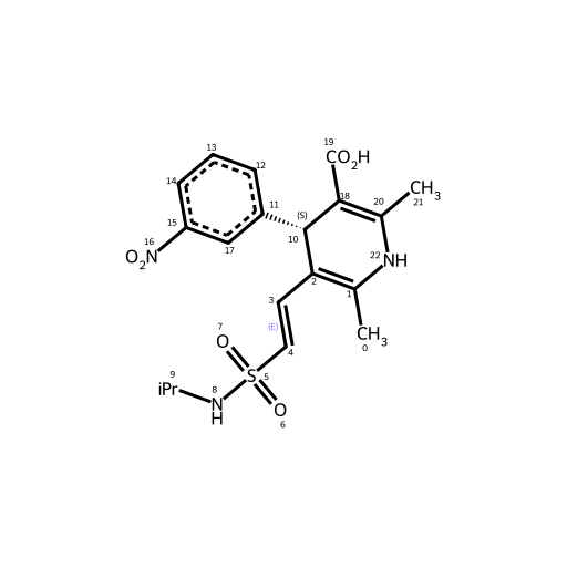 CC1=C(/C=C/S(=O)(=O)NC(C)C)[C@H](c2cccc([N+](=O)[O-])c2)C(C(=O)O)=C(C)N1